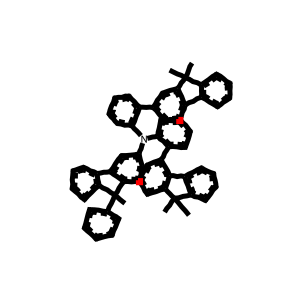 CC1(C)c2ccccc2-c2ccc(-c3ccccc3N(c3ccc4c(c3)-c3ccccc3C4(C)c3ccccc3)c3ccccc3-c3cccc4c3-c3ccccc3C4(C)C)cc21